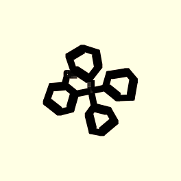 Oc1ccccc1[PH](c1ccccc1)(c1ccccc1)c1ccccc1